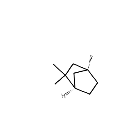 CC1(C)C[C@@]2(C)CC[C@@H]1C2